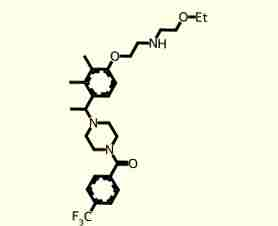 CCOCCNCCOc1ccc(C(C)N2CCN(C(=O)c3ccc(C(F)(F)F)cc3)CC2)c(C)c1C